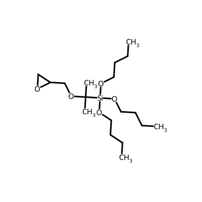 CCCCO[Si](OCCCC)(OCCCC)C(C)(C)OCC1CO1